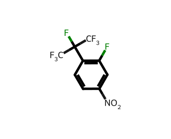 O=[N+]([O-])c1ccc(C(F)(C(F)(F)F)C(F)(F)F)c(F)c1